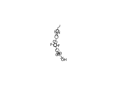 CCCc1cnc(N2CCC(C3Cc4c(F)c(C5=CCN(S(=O)(=O)CCC(C)(C)O)CC5)cc(F)c4O3)CC2)nc1